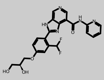 O=C(Nc1ccccn1)c1cncc2[nH]c(-c3ccc(OC[C@@H](O)CO)cc3C(F)F)nc12